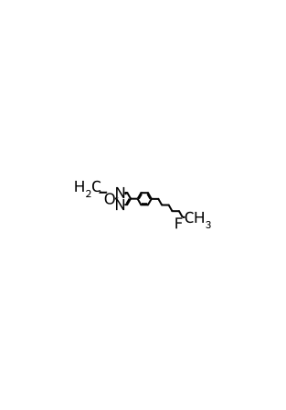 C=CCOc1ncc(-c2ccc(CCCCCC(C)F)cc2)cn1